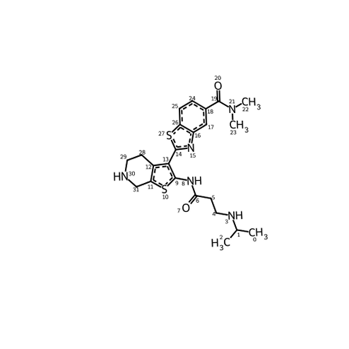 CC(C)NCCC(=O)Nc1sc2c(c1-c1nc3cc(C(=O)N(C)C)ccc3s1)CCNC2